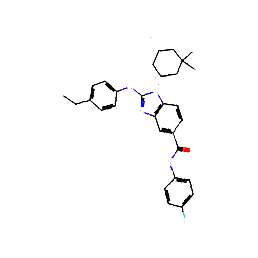 CCc1ccc(Nc2nc3cc(C(=O)Nc4ccc(F)cc4)ccc3n2[C@@H]2C[C@H](C)CC(C)(C)C2)cc1